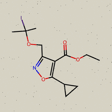 CCOC(=O)c1c(COC(C)(C)I)noc1C1CC1